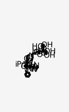 CC(C)C[C@H](NC(=O)[C@@H](Cc1ccccc1)NC(=O)c1cnccn1)B1OCCN(CCOC(=O)NC(OP(O)O)OP(O)O)CCO1